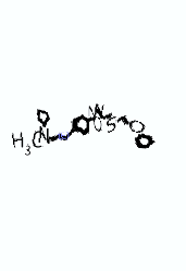 CN(C/C=C/c1ccc(-c2nnc(CSCCOc3ccccc3)o2)cc1)C1CCCC1